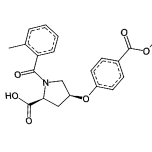 COC(=O)c1ccc(O[C@H]2C[C@@H](C(=O)O)N(C(=O)c3ccccc3C)C2)cc1